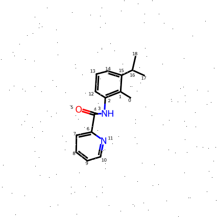 Cc1c(NC(=O)c2ccccn2)cccc1C(C)C